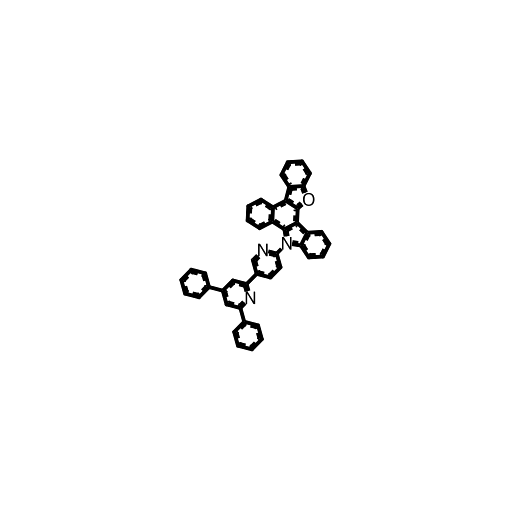 c1ccc(-c2cc(-c3ccccc3)nc(-c3ccc(-n4c5ccccc5c5c6oc7ccccc7c6c6ccccc6c54)nc3)c2)cc1